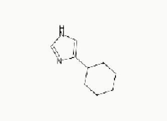 c1nc(C2CCCCC2)c[nH]1